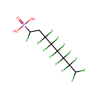 O=P(O)(O)C(F)CC(F)(F)C(F)(F)C(F)(F)C(F)(F)C(F)(F)C(F)F